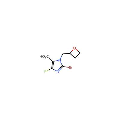 O=C(O)c1c(F)nc(Br)n1CC1CCO1